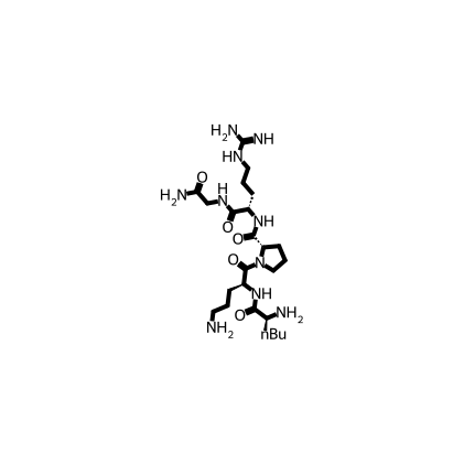 CCCC[C@H](N)C(=O)N[C@@H](CCCN)C(=O)N1CCC[C@H]1C(=O)N[C@@H](CCCNC(=N)N)C(=O)NCC(N)=O